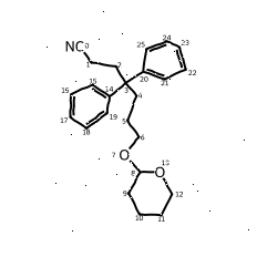 N#CCCC(CCCOC1CCCCO1)(c1ccccc1)c1ccccc1